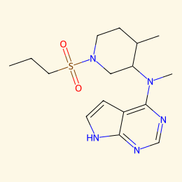 CCCS(=O)(=O)N1CCC(C)C(N(C)c2ncnc3[nH]ccc23)C1